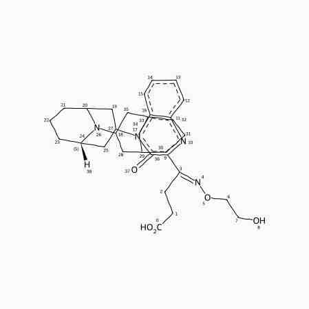 O=C(O)CCC(=NOCCO)c1nc2ccccc2n(C2CC3CCC[C@@H](C2)N3C2CC3CCCC(C3)C2)c1=O